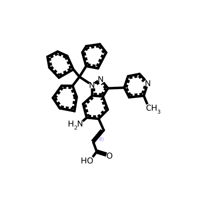 Cc1cc(-c2nn(C(c3ccccc3)(c3ccccc3)c3ccccc3)c3cc(N)c(/C=C/C(=O)O)cc23)ccn1